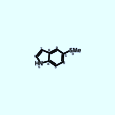 CSc1ccc2[nH][c]cc2c1